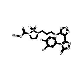 CC(C)(C)OC(=O)N1CCN(CCCNc2nonc2-c2noc(=O)n2-c2ccc(F)c(Br)c2)S1(=O)=O